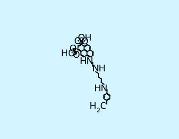 C=Cc1ccc(CNCCCCCCNCCNc2ccc3ccc4c(S(=O)(=O)O)cc(S(=O)(=O)O)c5ccc2c3c45)cc1